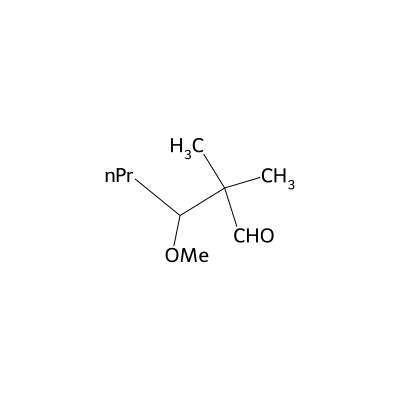 CCCC(OC)C(C)(C)C=O